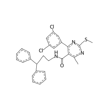 CSc1nc(C)c(C(=O)NCCC(c2ccccc2)c2ccccc2)c(-c2cc(Cl)cc(Cl)c2)n1